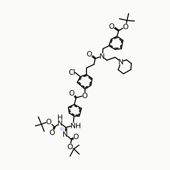 CC(C)(C)OC(=O)/N=C(/NC(=O)OC(C)(C)C)Nc1ccc(C(=O)Oc2ccc(CCC(=O)N(CCN3CCCCC3)Cc3cccc(C(=O)OC(C)(C)C)c3)c(Cl)c2)cc1